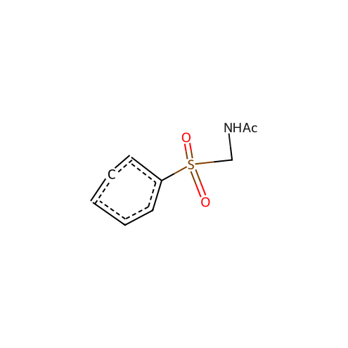 CC(=O)NCS(=O)(=O)c1ccccc1